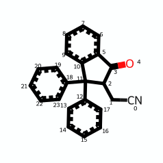 N#CCC1C(=O)c2ccccc2C1(c1ccccc1)c1ccccc1